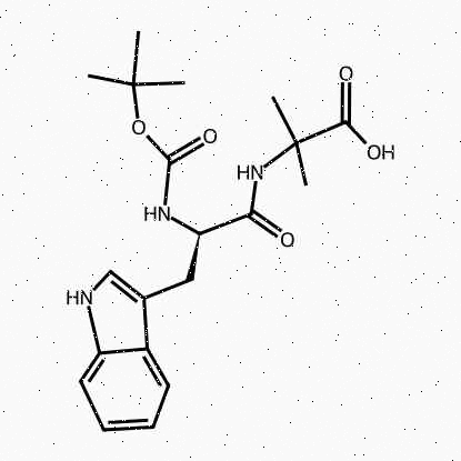 CC(C)(C)OC(=O)N[C@H](Cc1c[nH]c2ccccc12)C(=O)NC(C)(C)C(=O)O